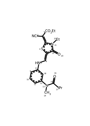 CCOC(=O)C(C#N)=c1sc(=CNc2cccc(N(C)C(=O)C(C)C)c2)c(=O)n1CC